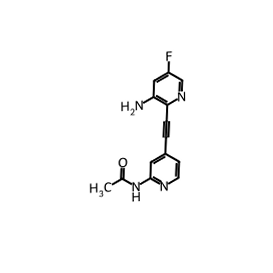 CC(=O)Nc1cc(C#Cc2ncc(F)cc2N)ccn1